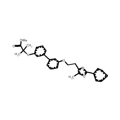 COC(=O)C(C)(C)Oc1cccc(-c2cccc(OCCc3nc(-c4ccccc4)oc3C)c2)c1